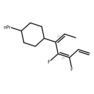 C=C/C(F)=C(F)\C(=C/C)C1CCC(CCC)CC1